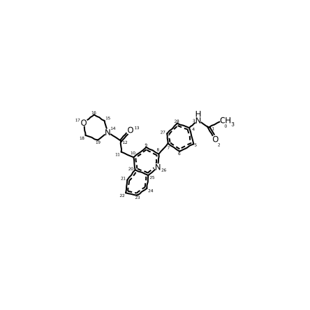 CC(=O)Nc1ccc(-c2cc(CC(=O)N3CCOCC3)c3ccccc3n2)cc1